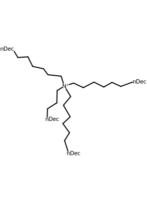 CCCCCCCCCCCCCCCC[N+](CCCCCCCCCCCCC)(CCCCCCCCCCCCCCCC)CCCCCCCCCCCCCCCC